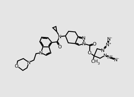 CC(CN=[N+]=[N-])(CN=[N+]=[N-])OC(=O)n1cc2c(n1)CCC(N(C(=O)c1cccc3c1ccn3CCN1CCOCC1)C1CC1)C2